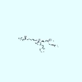 CC#CC[C@H](C)C/C=C/[C@H]1[C@H](OC2CCCCO2)CC2C/C(=C\CCCC(=O)OC)C[C@@H]21